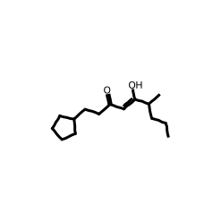 CCCC(C)/C(O)=C/C(=O)CCC1CCCC1